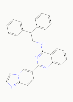 c1ccc(C(CNc2nc(-c3ccc4nccn4c3)nc3ccccc23)c2ccccc2)cc1